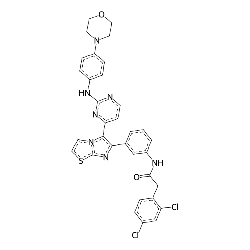 O=C(Cc1ccc(Cl)cc1Cl)Nc1cccc(-c2nc3sccn3c2-c2ccnc(Nc3ccc(N4CCOCC4)cc3)n2)c1